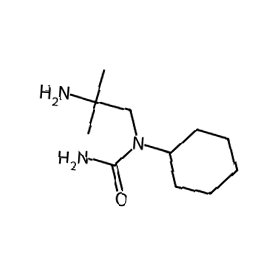 CC(C)(N)CN(C(N)=O)C1CCCCC1